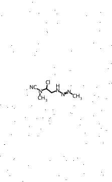 CN=NNCC(Cl)N(C)C#N